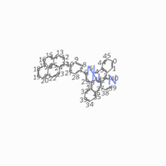 c1ccc(-c2nc(-c3ccc(-c4ccc5ccc6cccc7ccc4c5c67)cc3)cc(-c3ccccc3-c3ccncc3)n2)cc1